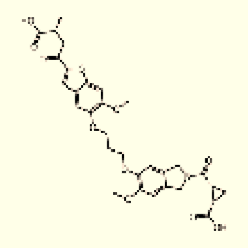 COc1cc2c(cc1OCCCOc1cc3cc(C(=O)C[C@H](C)C(=O)O)sc3cc1OC)CN(C(=O)[C@@H]1C[C@H]1C(=O)O)C2